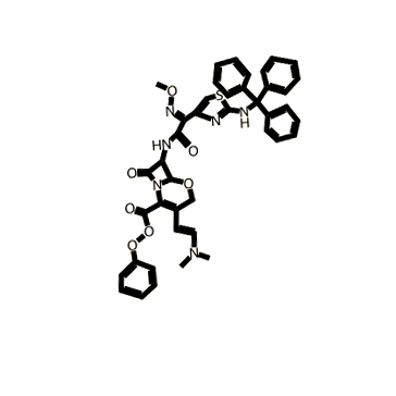 CON=C(C(=O)NC1C(=O)N2C(C(=O)OOc3ccccc3)=C(C=CN(C)C)COC12)c1csc(NC(c2ccccc2)(c2ccccc2)c2ccccc2)n1